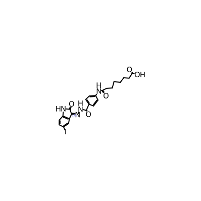 O=C(O)CCCCCCC(=O)Nc1ccc(C(=O)N/N=C2\C(=O)Nc3ccc(I)cc32)cc1